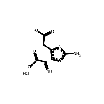 Cl.N=CC(=O)Cl.Nc1nc(CC([O])=O)cs1